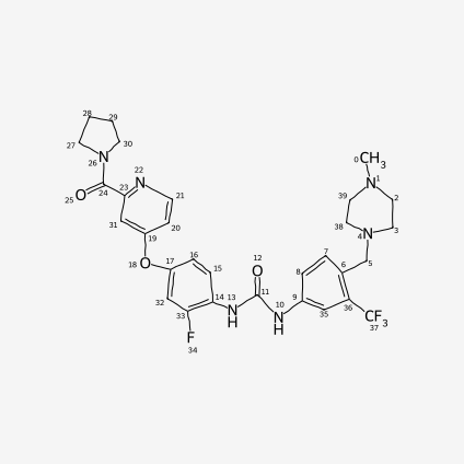 CN1CCN(Cc2ccc(NC(=O)Nc3ccc(Oc4ccnc(C(=O)N5CCCC5)c4)cc3F)cc2C(F)(F)F)CC1